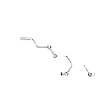 C=CCOOCC(O)CO